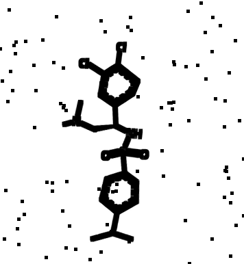 CC(C)c1ccc(S(=O)(=O)N[C@@H](CN(C)C)c2ccc(Cl)c(Cl)c2)cc1